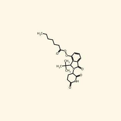 CCCCCCC(=O)OOc1cccc2c1C(C(C)(C)C)N(C1CCC(=O)NC1=O)C2=O